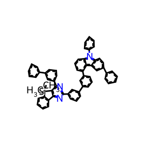 C[Si]1(C)c2ccccc2-c2nc(-c3cccc(-c4cccc(-c5cccc6c5c5cc(-c7ccccc7)ccc5n6-c5ccccc5)c4)c3)nc(-c3cccc(-c4ccccc4)c3)c21